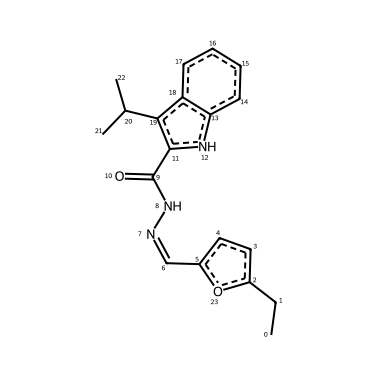 CCc1ccc(/C=N\NC(=O)c2[nH]c3ccccc3c2C(C)C)o1